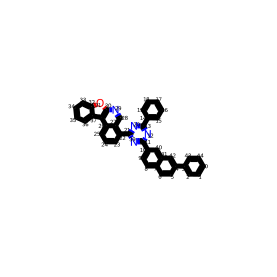 c1ccc(-c2ccc3ccc(-c4nc(-c5ccccc5)nc(-c5cccc6c5cnc5oc7ccccc7c56)n4)cc3c2)cc1